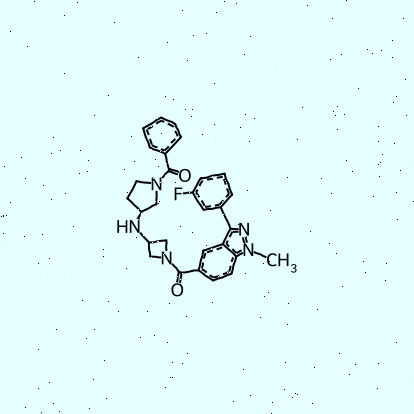 Cn1nc(-c2cccc(F)c2)c2cc(C(=O)N3CC(N[C@H]4CCN(C(=O)c5ccccc5)C4)C3)ccc21